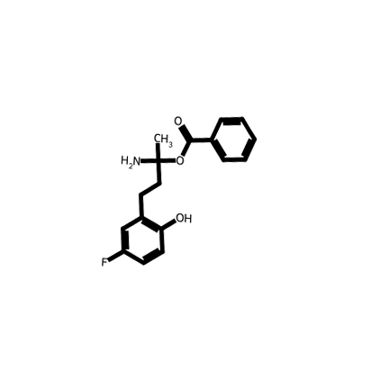 CC(N)(CCc1cc(F)ccc1O)OC(=O)c1ccccc1